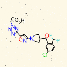 O=C(O)Cn1nnc(-c2cc(N3CCC(C(=O)c4cc(Cl)ccc4C(F)F)CC3)no2)n1